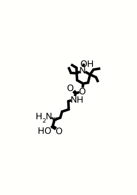 CCC1(CC)CC(OC(=O)NCCCC[C@H](N)C(=O)O)CC(CC)(CC)N1O